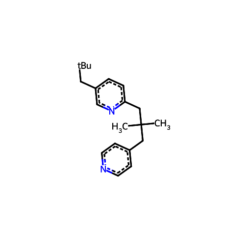 CC(C)(C)Cc1ccc(CC(C)(C)Cc2ccncc2)nc1